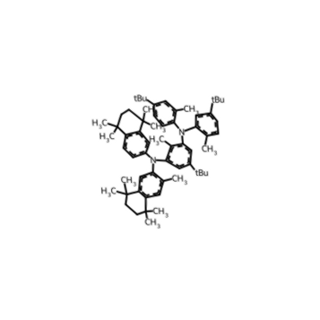 Cc1cc2c(cc1N(c1ccc3c(c1)C(C)(C)CCC3(C)C)c1cc(C(C)(C)C)cc(N(c3ccc(C(C)(C)C)cc3C)c3cc(C(C)(C)C)ccc3C)c1C)C(C)(C)CCC2(C)C